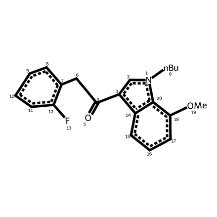 CCCCn1cc(C(=O)Cc2ccccc2F)c2cccc(OC)c21